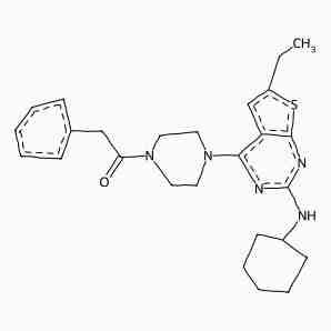 CCc1cc2c(N3CCN(C(=O)Cc4ccccc4)CC3)nc(NC3CCCCC3)nc2s1